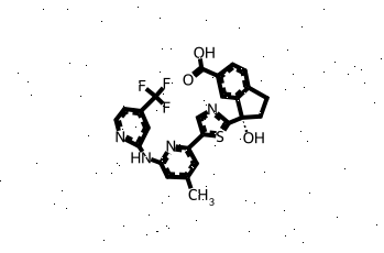 Cc1cc(Nc2cc(C(F)(F)F)ccn2)nc(-c2cnc([C@]3(O)CCc4ccc(C(=O)O)cc43)s2)c1